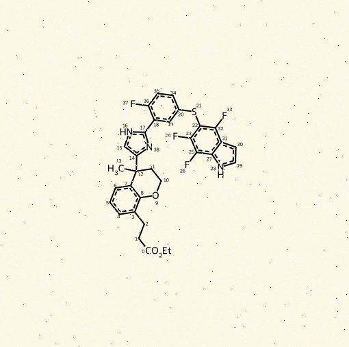 CCOC(=O)CCc1cccc2c1OCCC2(C)c1c[nH]c(-c2cc(Sc3c(F)c(F)c4[nH]ccc4c3F)ccc2F)n1